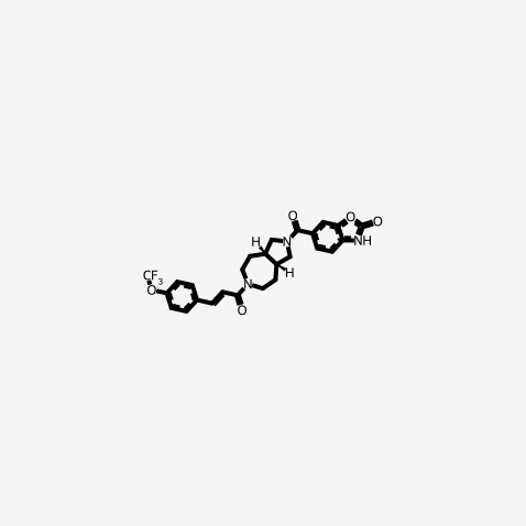 O=C(C=Cc1ccc(OC(F)(F)F)cc1)N1CC[C@@H]2CN(C(=O)c3ccc4[nH]c(=O)oc4c3)C[C@@H]2CC1